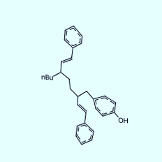 CCCCC(C=Cc1ccccc1)CCC(C=Cc1ccccc1)Cc1ccc(O)cc1